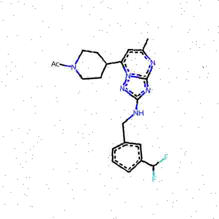 CC(=O)N1CCC(c2cc(C)nc3nc(NCc4cccc(C(F)F)c4)nn23)CC1